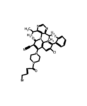 CC(C)c1ncnc(C(C)C)c1-n1c(=O)c(C#N)c(N2CCN(C(=O)/C=C/CBr)CC2)c2cc(Cl)c(-c3ccccc3F)nc21